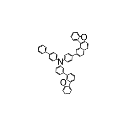 c1ccc(-c2ccc(N(c3ccc(-c4ccc5ccc6oc7ccccc7c6c5c4)cc3)c3cccc(-c4cccc5c4oc4ccccc45)c3)cc2)cc1